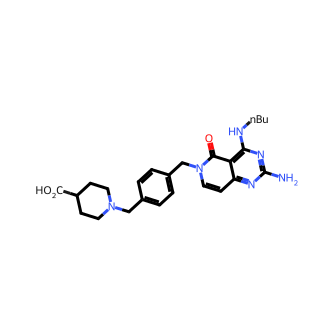 CCCCNc1nc(N)nc2ccn(Cc3ccc(CN4CCC(C(=O)O)CC4)cc3)c(=O)c12